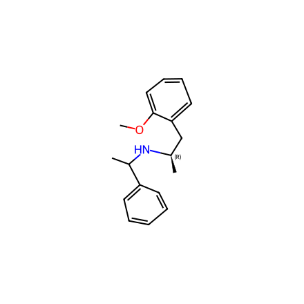 COc1ccccc1C[C@@H](C)NC(C)c1ccccc1